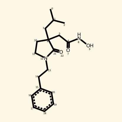 CC(C)CC1(CC(=O)NO)CCN(CCc2ccccc2)C1=O